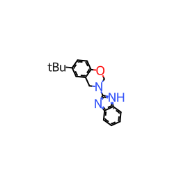 CC(C)(C)c1ccc2c(c1)CN(c1nc3ccccc3[nH]1)CO2